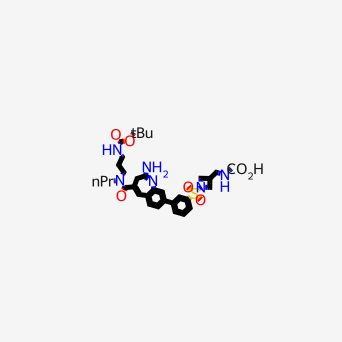 CCCN(CCCNC(=O)OC(C)(C)C)C(=O)C1=Cc2ccc(-c3cccc(S(=O)(=O)N4CC(CNC(=O)O)C4)c3)cc2N=C(N)C1